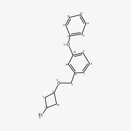 CCC1CC(OCc2cccc(Oc3ccccc3)c2)C1